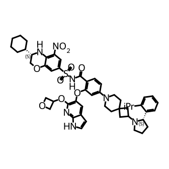 CC(C)c1ccccc1[C@@H]1CCCN1C1CC2(CCN(c3ccc(C(=O)NS(=O)(=O)c4cc5c(c([N+](=O)[O-])c4)N[C@@H](C4CCCCC4)CO5)c(Oc4cc5cc[nH]c5nc4OC4COC4)c3)CC2)C1